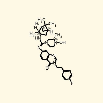 C[C@H]1C(NC(=Nc2ccc3c(=O)n(CCc4ccc(F)cc4)cnc3c2)N2CCN(O)[C@@H](C)C2)C[C@@H]2C[C@@H]1C2(C)C